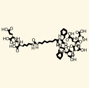 O=C(O)CC[C@H](NC(=O)N[C@@H](CCCCNC(=O)NCCCCCCCC(=O)N[C@@H](Cc1ccccc1)C(=O)N[C@@H](Cc1ccccc1)C(=O)N[C@@H](CC(=O)O)C(=O)N[C@@H](CC(=O)O)C(=O)N[C@@H](CCC(=O)O)C(=O)N[C@@H](CS)C(=O)O)C(=O)O)C(=O)O